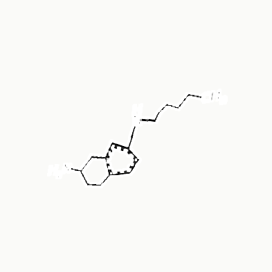 CCCCCNc1ccc2c(c1)CC(N)CC2